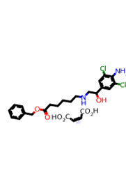 Nc1c(Cl)cc(C(O)CNCCCCCC(=O)OCc2ccccc2)cc1Cl.O=C(O)/C=C\C(=O)O